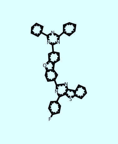 Fc1ccc(-c2nc(-c3ccc4oc5cc(-c6nc(-c7ccccc7)nc(-c7ccccc7)n6)ccc5c4c3)nc3c2sc2ccccc23)cc1